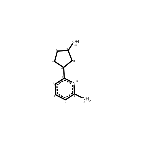 Nc1cccc(C2CCC(O)C2)n1